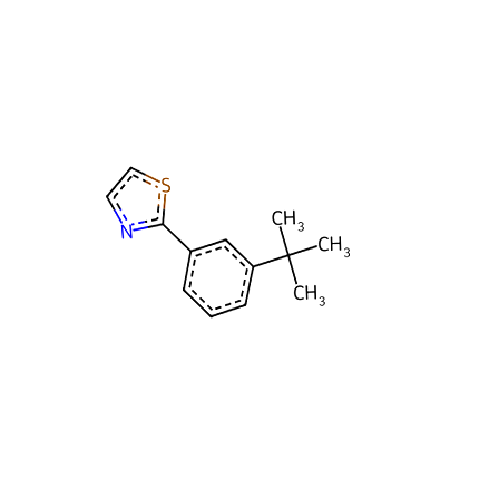 CC(C)(C)c1cccc(-c2nccs2)c1